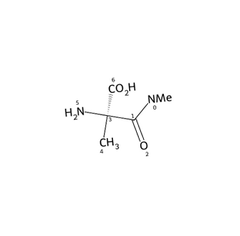 CNC(=O)[C@@](C)(N)C(=O)O